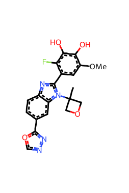 COc1cc(-c2nc3ccc(-c4nnco4)cc3n2C2(C)COC2)c(F)c(O)c1O